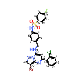 O=S(=O)(Nc1ccc(CNc2cc(-c3ccccc3Cl)nc3c(Br)cnn23)cc1)c1ccc(F)cc1